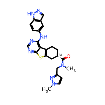 CN(Cc1ccn(C)n1)C(=O)[C@H]1CCc2c(sc3ncnc(Nc4ccc5[nH]ncc5c4)c23)C1